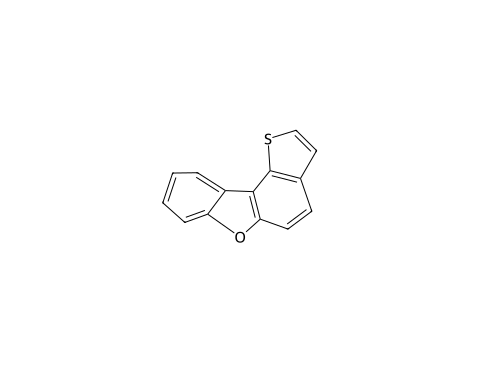 c1ccc2c(c1)oc1ccc3ccsc3c12